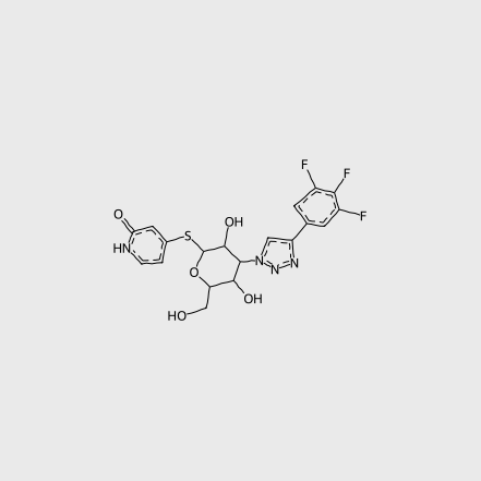 O=c1cc(SC2OC(CO)C(O)C(n3cc(-c4cc(F)c(F)c(F)c4)nn3)C2O)cc[nH]1